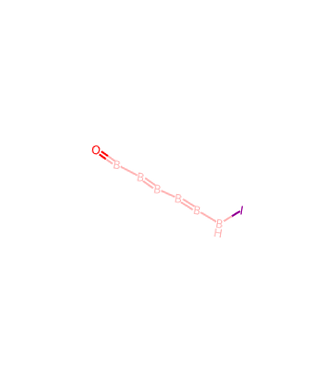 O=B/B=B\B=B/BI